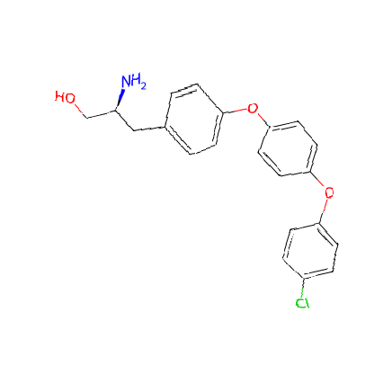 N[C@H](CO)Cc1ccc(Oc2ccc(Oc3ccc(Cl)cc3)cc2)cc1